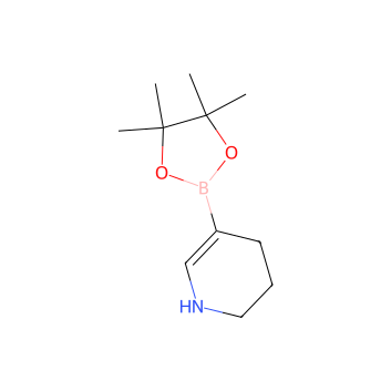 CC1(C)OB(C2=CNCCC2)OC1(C)C